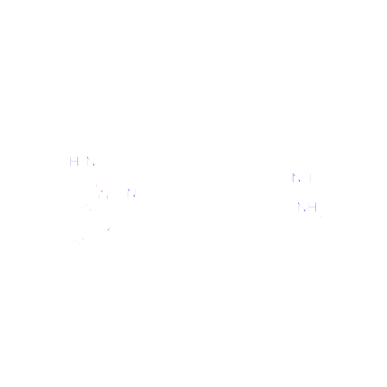 N=C(N)c1ccc(-c2ccc(OC[C@@H]3C[C@@H](CC(=O)O)C(=O)N3c3ccccc3C(N)=O)cc2)cc1